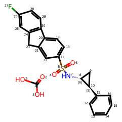 O=C(O)O.O=S(=O)(N[C@@H]1C[C@H]1c1ccccc1)c1ccc2c(c1)Cc1cc(F)ccc1-2